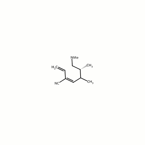 C=C/C(C#N)=C\C(C)[C@@H](C)CNC